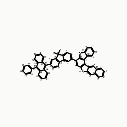 CC1(C)c2ccc(-c3cc4sc5cc6ccccc6cc5c4c4c3sc3ccccc34)cc2-c2ccc(-c3c4ccccc4c(-c4ccccc4)c4ccccc34)cc21